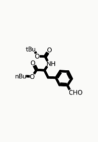 CCCCOC(=O)C(Cc1cccc(C=O)c1)NC(=O)OC(C)(C)C